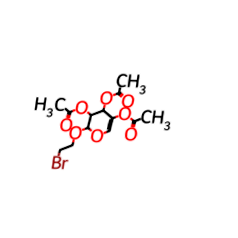 CC(=O)OC1=COC(OCCBr)C(OC(C)=O)C1OC(C)=O